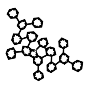 c1ccc(-c2cc(-c3ccccc3)cc(-c3ccccc3-c3ccccc3-c3cc(-c4ccccc4)cc4c5cc(-c6ccccc6)cc(-c6ccccc6-c6ccccc6-c6cc(-c7ccccc7)cc(-c7ccccc7)c6)c5n(-c5ccccc5)c34)c2)cc1